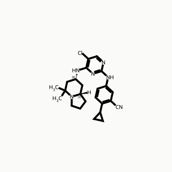 CC1(C)C[C@H](Nc2nc(Nc3ccc(C4CC4)c(C#N)c3)ncc2Cl)C[C@@H]2CCCN21